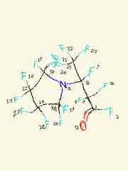 O=C(F)C(F)(F)C(F)(N1C(F)(F)C(F)(F)C(F)(F)C1(F)F)C(F)(F)F